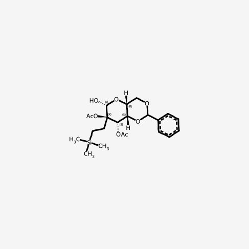 CC(=O)O[C@H]1[C@H]2OC(c3ccccc3)OC[C@H]2O[C@@H](O)[C@]1(CC[Si](C)(C)C)OC(C)=O